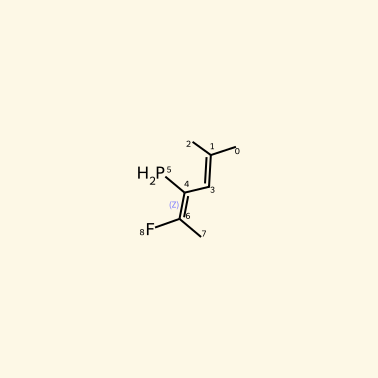 CC(C)=C/C(P)=C(\C)F